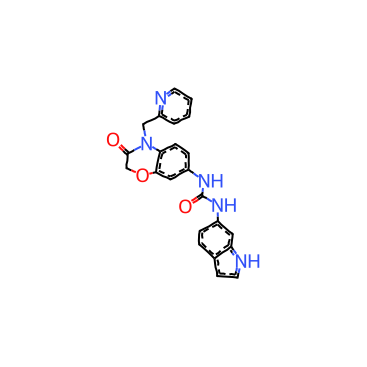 O=C(Nc1ccc2c(c1)OCC(=O)N2Cc1ccccn1)Nc1ccc2cc[nH]c2c1